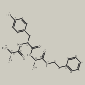 CCC(C)[C@H](NC(=O)[C@H](Cc1ccc(O)cc1)NC(=O)[C@@H](N)C(C)C)C(=O)NCCc1ccccc1